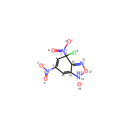 O=[N+]([O-])C1=CC(Cl)([N+](=O)[O-])C2=NO[NH+]([O-])C2=C1